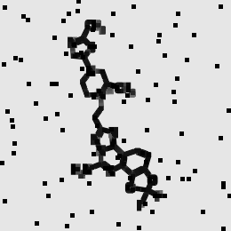 Cc1ncc(N2CCN(CCc3nc4c5ccc6c(c5nc(N)n4n3)OC(F)(F)O6)[C@H](C)C2)s1